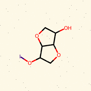 OC1COC2C(OI)COC12